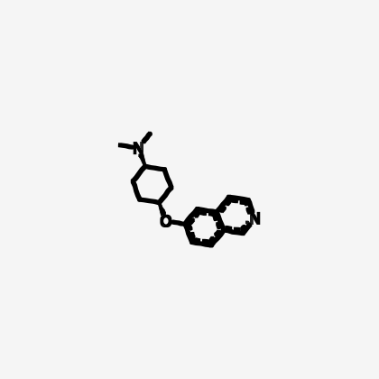 CN(C)[C@H]1CC[C@@H](Oc2ccc3cnccc3c2)CC1